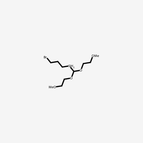 COCCOC(OCCOC)[SiH2]CCCBr